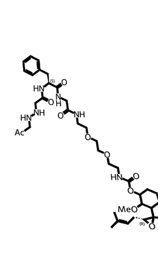 COC1C(OC(=O)NCCOCCOCCNC(=O)CNC(=O)[C@H](Cc2ccccc2)NC(=O)CNNCC(C)=O)CC[C@]2(CO2)C1C1(C)O[C@@H]1CC=C(C)C